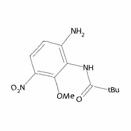 COc1c([N+](=O)[O-])ccc(N)c1NC(=O)C(C)(C)C